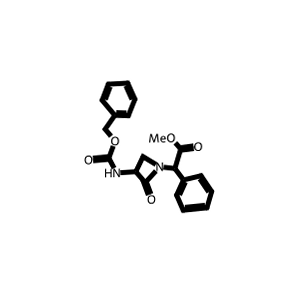 COC(=O)C(c1ccccc1)N1CC(NC(=O)OCc2ccccc2)C1=O